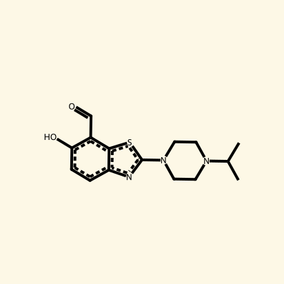 CC(C)N1CCN(c2nc3ccc(O)c(C=O)c3s2)CC1